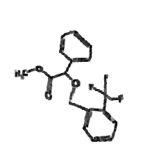 COC(=O)C(OCc1ccccc1C(F)(F)F)c1ccccc1